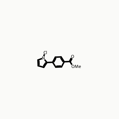 COC(=O)c1ccc(-c2cccn2Cl)cc1